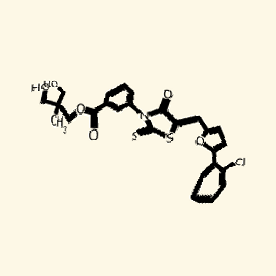 CC(CO)(CO)COC(=O)c1cccc(N2C(=O)C(=Cc3ccc(-c4ccccc4Cl)o3)SC2=S)c1